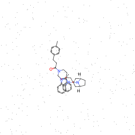 Cc1ccc(CCC(=O)N2CCC(CCN3[C@@H]4CC[C@H]3CC(n3c(C)nc5ccccc53)C4)(c3ccccc3)CC2)cc1